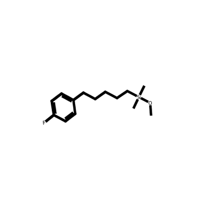 CO[Si](C)(C)CCCCCc1ccc(F)cc1